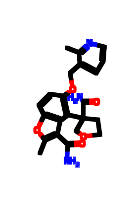 Cc1ncccc1COc1ccc2oc(C)c(C(N)=O)c2c1C1(C(N)=O)CCOC1